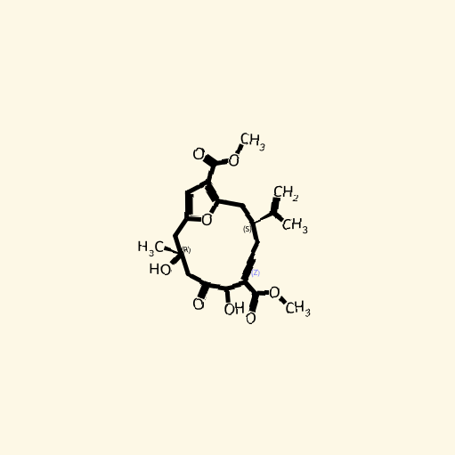 C=C(C)[C@H]1C/C=C(\C(=O)OC)C(O)C(=O)C[C@](C)(O)Cc2cc(C(=O)OC)c(o2)C1